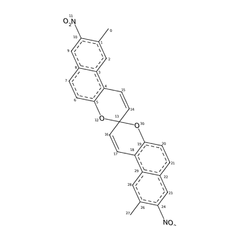 Cc1cc2c3c(ccc2cc1[N+](=O)[O-])OC1(C=C3)C=Cc2c(ccc3cc([N+](=O)[O-])c(C)cc23)O1